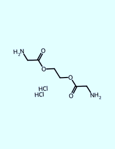 Cl.Cl.NCC(=O)OCCOC(=O)CN